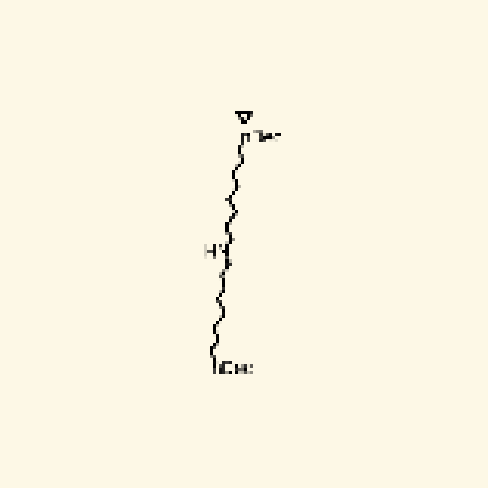 C1CC1.CCCCCCCCCCCCCCCCCCNCCCCCCCCCCCCCCCCCC